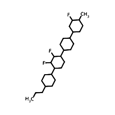 CCCC1CCC(C2CCC(C3CCC(C4CCC(C)C(F)C4)CC3)C(F)C2F)CC1